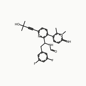 Cc1c(-c2ccc(C#CC(C)(C)O)nc2C(Cc2cc(F)cc(F)c2)NC=O)ccc(=N)n1C